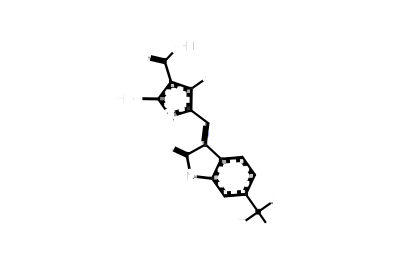 Cc1[nH]c(/C=C2\C(=O)Nc3cc(C(F)(F)F)ccc32)c(C)c1C(=O)O